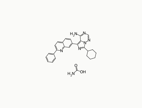 NC(=O)O.Nc1ncnn2c(C3CCCCC3)nc(-c3ccc4ccc(-c5ccccc5)nc4c3)c12